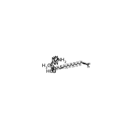 C[C@H](Cn1cnc2c(N)ncnc21)OCP(=O)(O)OCCCSCCCCCCCCCCCCC#CC1CC1